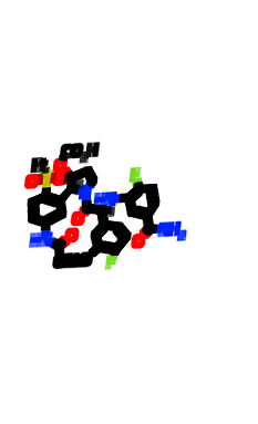 CCS(=O)(=O)c1ccc(NC(=O)OC)cc1[C@H]1[C@@H](OC(=O)O)CCN1C(=O)[C@H](Nc1cc(C(N)=O)ccc1F)c1ccc(F)c(OC)c1